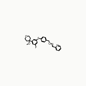 COC1(c2cc(F)cc(Sc3ccc(CON=Cc4ccccn4)cc3)c2)CCOCC1